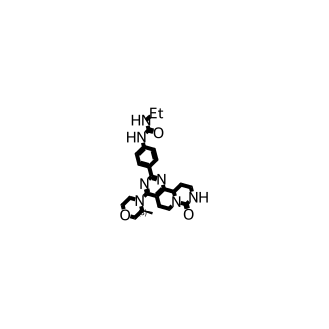 CCNC(=O)Nc1ccc(-c2nc3c(c(N4CCOC[C@@H]4C)n2)CCN2C(=O)NCCC32)cc1